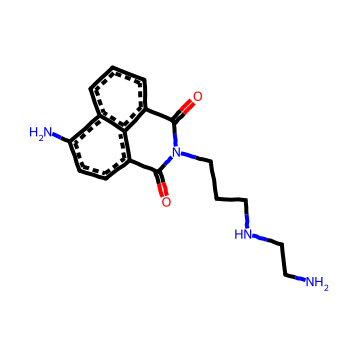 NCCNCCCN1C(=O)c2cccc3c(N)ccc(c23)C1=O